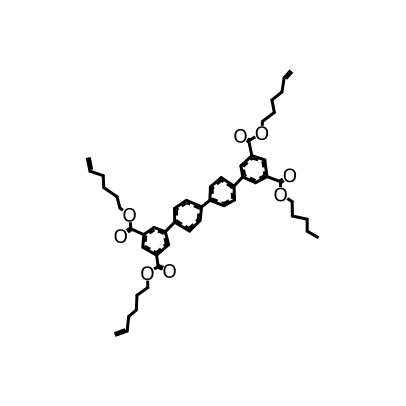 C=CCCCCOC(=O)c1cc(C(=O)OCCCCC)cc(-c2ccc(-c3ccc(-c4cc(C(=O)OCCCCC=C)cc(C(=O)OCCCCC=C)c4)cc3)cc2)c1